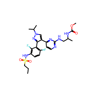 CCCS(=O)(=O)Nc1ccc(F)c(-c2nn(C(C)C)cc2-c2ccnc(NCC(C)NC(=O)OC)n2)c1F